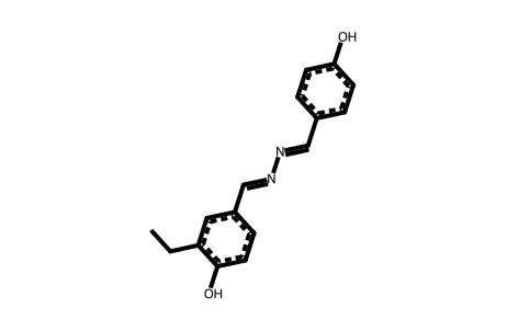 CCc1cc(/C=N/N=C/c2ccc(O)cc2)ccc1O